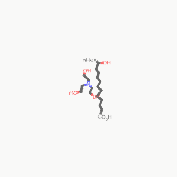 CCCCCCC(O)CCCCCCCCCCC(=O)O.OCCN(CCO)CCO